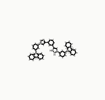 C1=C(c2cccc(-c3cn(-c4cccc(-n5c6ccccc6c6ccccc65)c4)nn3)c2)NNN1c1cccc(-n2c3ccccc3c3ccccc32)c1